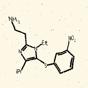 CCn1c(CCN)nc(C(C)C)c1Sc1cccc([N+](=O)[O-])c1